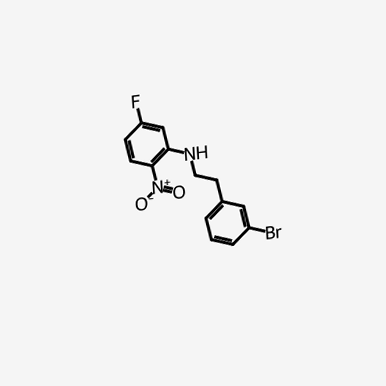 O=[N+]([O-])c1ccc(F)cc1NCCc1cccc(Br)c1